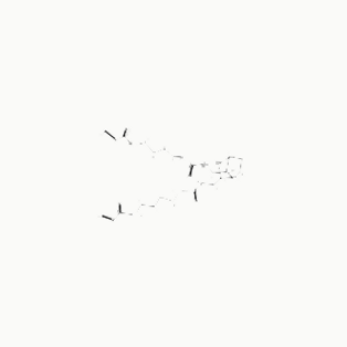 C=CC(=O)OCCCCOC(=O)NCC1CC2CCC1C2CNC(=O)OCCCCOC(=O)C=C